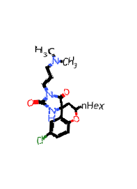 CCCCCCC1CC2(NC(=O)N(CCCN(C)C)C2=O)c2cc(Cl)ccc2O1